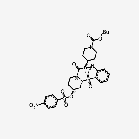 CC(C)(C)OC(=O)N1CCC(NC(=O)[C@@H]2CC[C@H](OS(=O)(=O)c3ccc([N+](=O)[O-])cc3)CN2S(=O)(=O)c2ccccc2[N+](=O)[O-])CC1